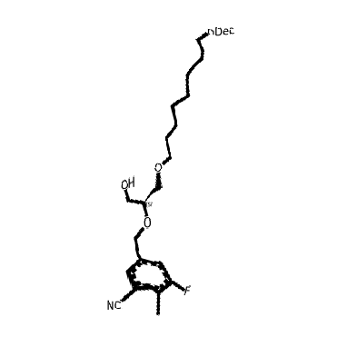 CCCCCCCCCCCCCCCCCCOC[C@H](CO)OCc1cc(F)c(C)c(C#N)c1